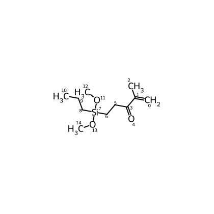 C=C(C)C(=O)CC[Si](CCC)(OC)OC